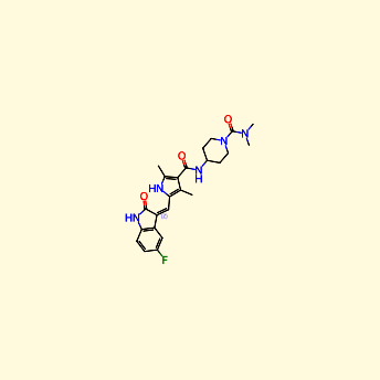 Cc1[nH]c(/C=C2\C(=O)Nc3ccc(F)cc32)c(C)c1C(=O)NC1CCN(C(=O)N(C)C)CC1